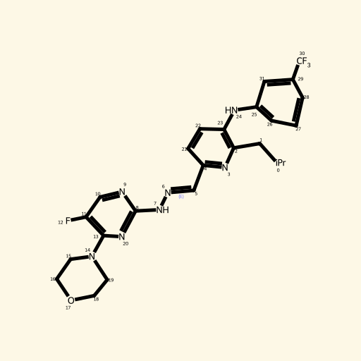 CC(C)Cc1nc(/C=N/Nc2ncc(F)c(N3CCOCC3)n2)ccc1Nc1cccc(C(F)(F)F)c1